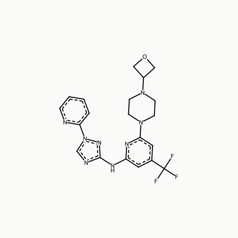 FC(F)(F)c1cc(Nc2ncn(-c3ccccn3)n2)nc(N2CCN(C3COC3)CC2)c1